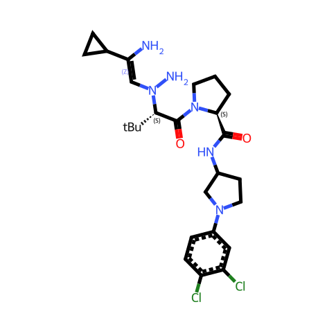 CC(C)(C)[C@@H](C(=O)N1CCC[C@H]1C(=O)NC1CCN(c2ccc(Cl)c(Cl)c2)C1)N(N)/C=C(\N)C1CC1